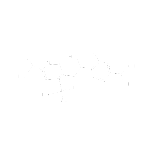 CC(C)c1cnc(C(C)Cc2cnc(C(C)C)cc2C(C)(C)C)c(Cl)c1